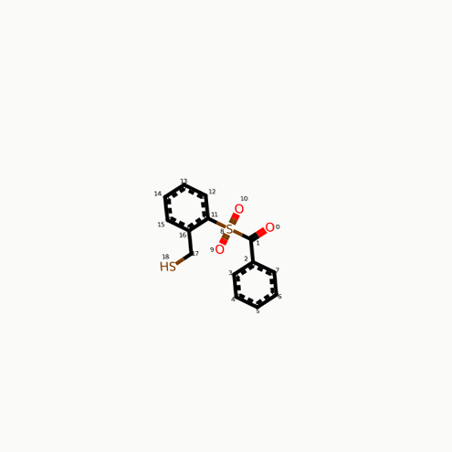 O=C(c1ccccc1)S(=O)(=O)c1ccccc1CS